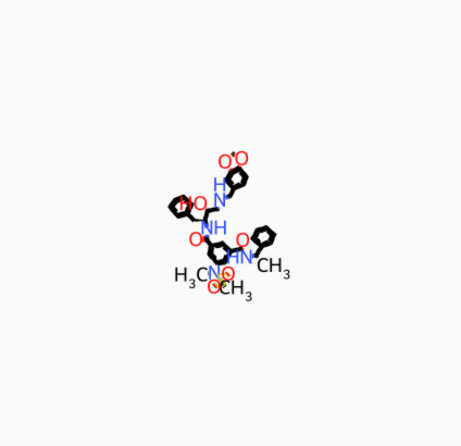 C[C@@H](NC(=O)c1cc(C(=O)N[C@@H](Cc2ccccc2)[C@H](O)CNCc2ccc3c(c2)OCO3)cc(N(C)S(C)(=O)=O)c1)c1ccccc1